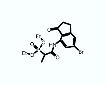 CCOP(=O)(OCC)C(C)C(=O)Nc1cc(Br)cc2c1C(=O)CC2